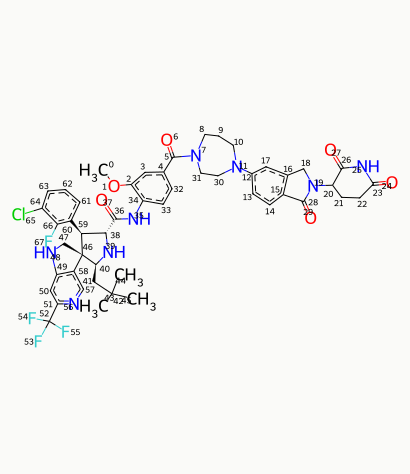 COc1cc(C(=O)N2CCCN(c3ccc4c(c3)CN(C3CCC(=O)NC3=O)C4=O)CC2)ccc1NC(=O)[C@@H]1N[C@@H](CC(C)(C)C)[C@@]2(CNc3cc(C(F)(F)F)ncc32)[C@H]1c1cccc(Cl)c1F